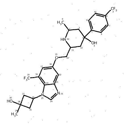 CC1CC(O)(c2ccc(C(F)(F)F)cc2)CC(COc2cc(C(F)(F)F)c3c(c2)ncn3C2CC(C)(O)C2)N1